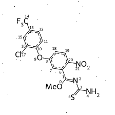 COC(=NC(N)=S)c1cc(Oc2ccc(C(F)(F)F)cc2Cl)ccc1[N+](=O)[O-]